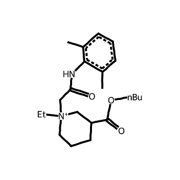 CCCCOC(=O)C1CCC[N+](CC)(CC(=O)Nc2c(C)cccc2C)C1